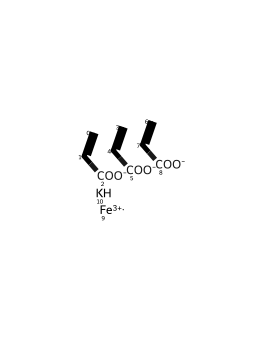 C=CC(=O)[O-].C=CC(=O)[O-].C=CC(=O)[O-].[Fe+3].[KH]